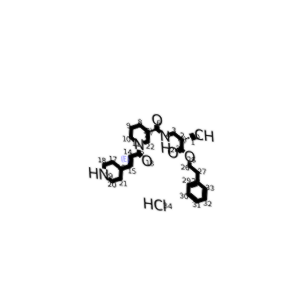 C#C[C@@H](CNC(=O)[C@@H]1CCCN(C(=O)/C=C/C2CCNCC2)C1)C(=O)OCCc1ccccc1.Cl